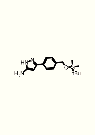 CC(C)(C)[Si](C)(C)OCc1ccc(-c2cc(N)[nH]n2)cc1